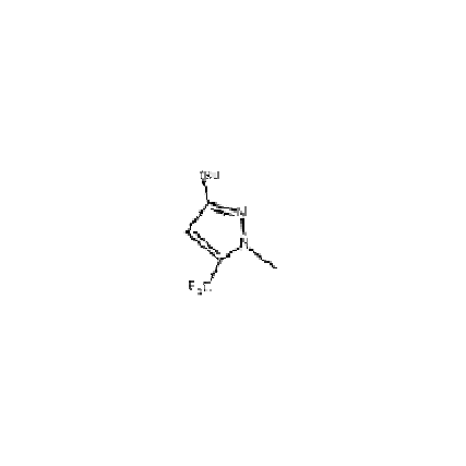 Cn1nc(C(C)(C)C)cc1C(F)(F)F